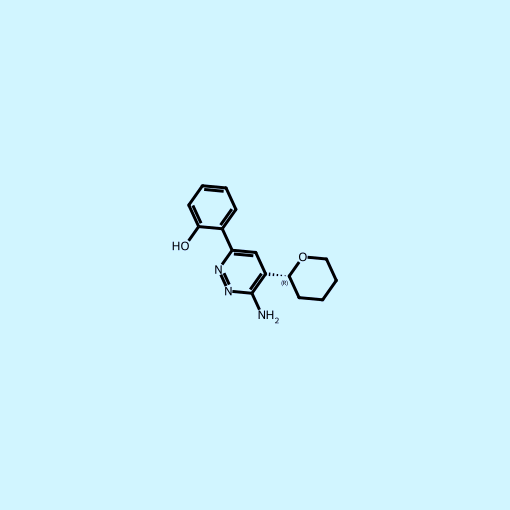 Nc1nnc(-c2ccccc2O)cc1[C@H]1CCCCO1